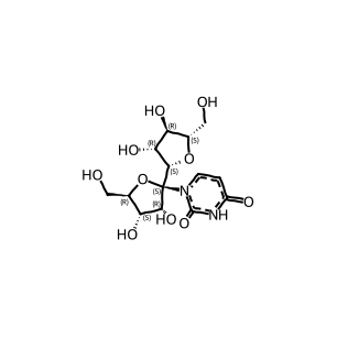 O=c1ccn([C@]2([C@H]3O[C@@H](CO)[C@H](O)[C@H]3O)O[C@H](CO)[C@@H](O)[C@H]2O)c(=O)[nH]1